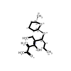 C=C(C(C)=O)/C(O)=C(\CC)[C@H](CCC)O[C@H]1CCC[C@H](C)O1